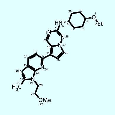 CCO[C@H]1CC[C@H](Nc2ncc3c(-c4ccc5nc(C)n(CCOC)c5n4)ccn3n2)CC1